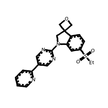 CCS(=O)(=O)c1ccc2c(c1)N(c1ncc(-c3ccccn3)cn1)CC21COC1